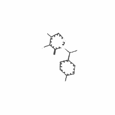 CC(c1ccc(F)cc1)n1ncc(O)c(Br)c1=O